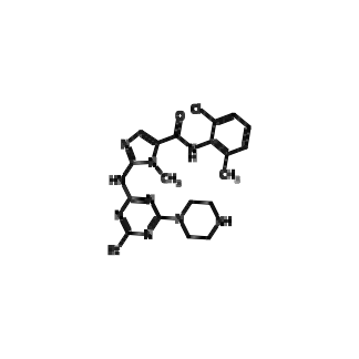 CCc1nc(Nc2ncc(C(=O)Nc3c(C)cccc3Cl)n2C)nc(N2CCNCC2)n1